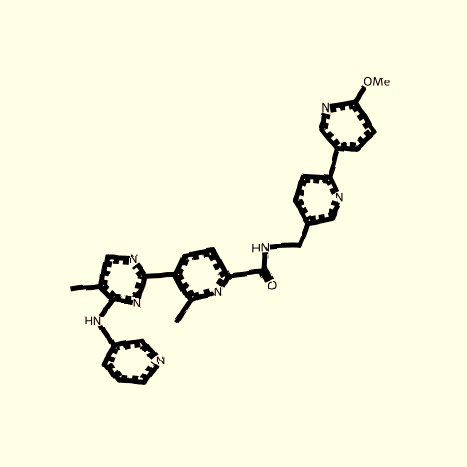 COc1ccc(-c2ccc(CNC(=O)c3ccc(-c4ncc(C)c(Nc5cccnc5)n4)c(C)n3)cn2)cn1